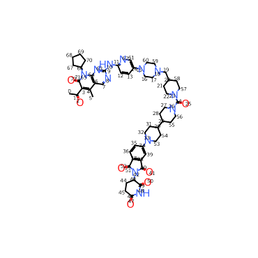 CC(=O)c1c(C)c2cnc(Nc3ccc(N4CCN(CC5CCN(C(=O)N6CCC(C7CCN(c8ccc9c(c8)C(=O)N(C8CCC(=O)NC8=O)C9=O)CC7)CC6)CC5)CC4)cn3)nc2n(C2CCCC2)c1=O